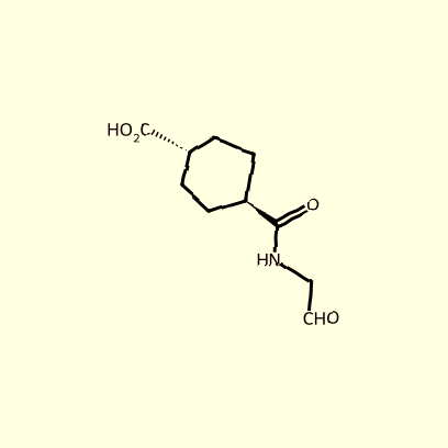 O=CCNC(=O)[C@H]1CC[C@H](C(=O)O)CC1